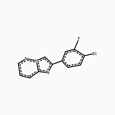 CCc1ccc(-c2cn3ncccc3n2)cc1F